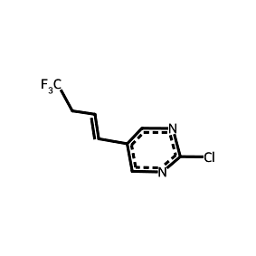 FC(F)(F)CC=Cc1cnc(Cl)nc1